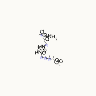 CC1=CCC(C(C)/C=C(C)/C=C/C=C\C(=O)NC(C(=O)N/C=C\CC(C/C=C(\C)Cl)OC(N)=O)C(C)(C)C)OC1=O